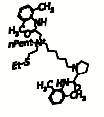 CCCCC[N+](CCCCCCN1CCCC1C(=O)Nc1c(C)cccc1C)(CCSCC)CC(=O)Nc1c(C)cccc1C